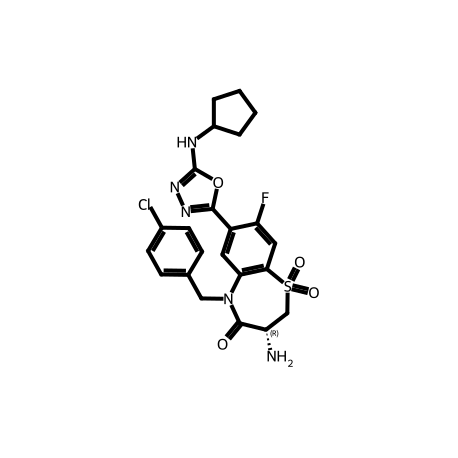 N[C@H]1CS(=O)(=O)c2cc(F)c(-c3nnc(NC4CCCC4)o3)cc2N(Cc2ccc(Cl)cc2)C1=O